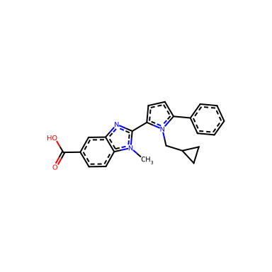 Cn1c(-c2ccc(-c3ccccc3)n2CC2CC2)nc2cc(C(=O)O)ccc21